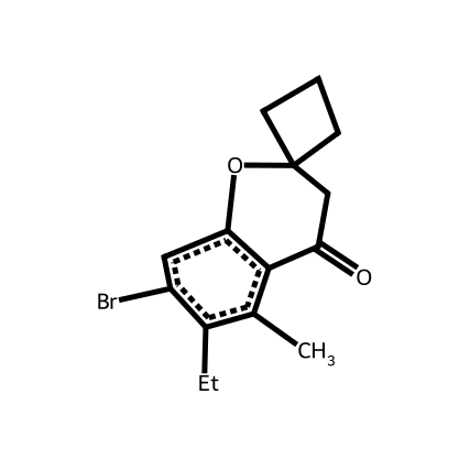 CCc1c(Br)cc2c(c1C)C(=O)CC1(CCC1)O2